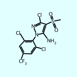 CS(=O)(=O)c1c(Cl)nn(-c2c(Cl)cc(C(F)(F)F)cc2Cl)c1N